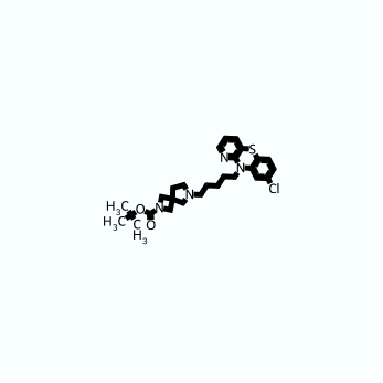 CC(C)(C)OC(=O)N1CC2(CCN(CCCCCN3c4cc(Cl)ccc4Sc4cccnc43)C2)C1